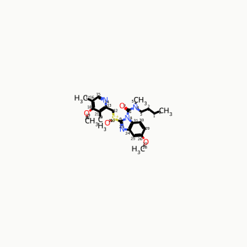 CC[CH]CN(C)C(=O)n1c([S+]([O-])Cc2ncc(C)c(OC)c2C)nc2cc(OC)ccc21